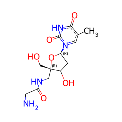 Cc1cn([C@H]2CC(O)[C@](CO)(CNC(=O)CN)O2)c(=O)[nH]c1=O